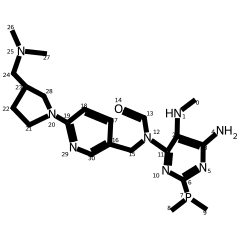 CNc1c(N)nc(P(C)C)nc1N(C=O)Cc1ccc(N2CCC(CN(C)C)C2)nc1